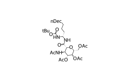 CCCCCCCCCCCCC[C@@H](NC(=O)OC(C)(C)C)NC(=O)[C@@H]1O[C@H](COC(C)=O)[C@@H](OC(C)=O)[C@H](OC(C)=O)[C@H]1NC(C)=O